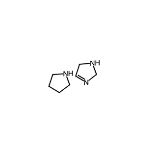 C1=NCNC1.C1CCNC1